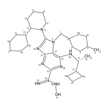 CC1CCC(Cn2c(N3CCCCC3C3CCCCC3)nc3nc(C(=N)NO)nc(N[C@H](C)C4CCC4)c32)CC1